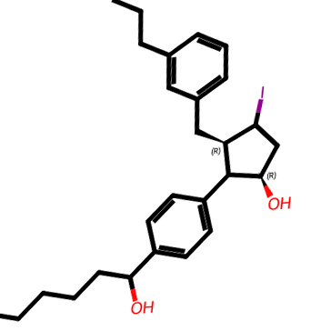 CCCCCC(O)c1ccc(C2[C@@H](Cc3cccc(CCC)c3)C(I)C[C@H]2O)cc1